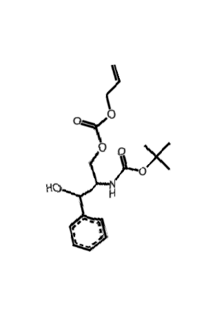 C=CCOC(=O)OCC(NC(=O)OC(C)(C)C)C(O)c1ccccc1